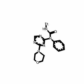 CCNC(=O)N(c1ccccc1)c1ncnc(N2CCOCC2)n1